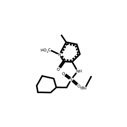 CC(C)(C)C.Cc1ccc(NS(=O)(=O)CC2CCCCC2)c(=O)n1C(=O)O